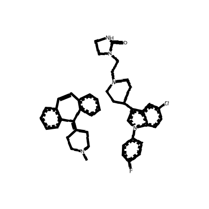 CN1CCC(=C2c3ccccc3C=Cc3ccccc32)CC1.O=C1NCCN1CCN1CCC(c2cn(-c3ccc(F)cc3)c3ccc(Cl)cc23)CC1